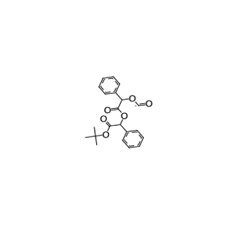 CC(C)(C)OC(=O)C(OC(=O)C(O[C]=O)c1ccccc1)c1ccccc1